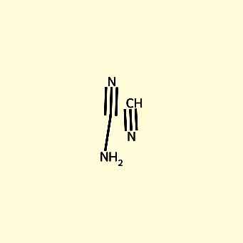 C#N.N#CN